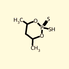 CC1CC(C)OP(=S)(S)O1